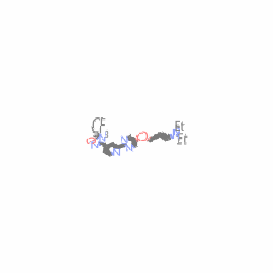 CCN(CC)CCCOc1cnc(-c2cc(-c3noc(C(F)(F)F)n3)ccn2)nc1